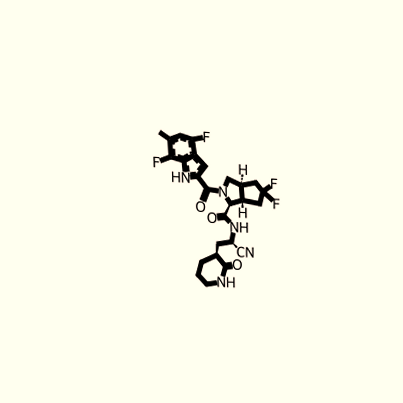 Cc1cc(F)c2cc(C(=O)N3C[C@H]4CC(F)(F)C[C@H]4[C@H]3C(=O)N[C@H](C#N)C[C@@H]3CCCNC3=O)[nH]c2c1F